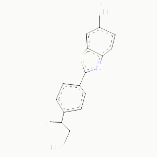 CCC(C)c1ccc(-c2nc3ccc(C)cc3s2)cc1